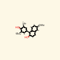 CCCc1cc(-c2c(O)ccc3cc(OC)ccc23)cc(C(C)(C)C)c1O